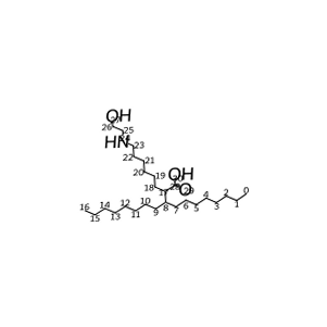 CCCCCCCCC(CCCCCCCC)C(CCCCCCNCCO)C(=O)O